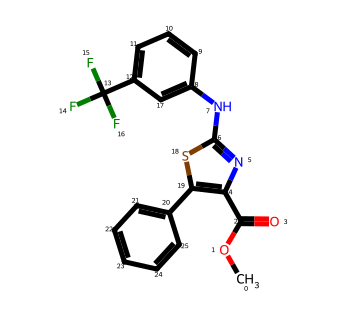 COC(=O)c1nc(Nc2cccc(C(F)(F)F)c2)sc1-c1ccccc1